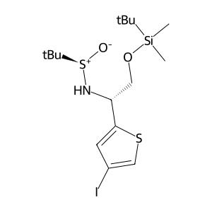 CC(C)(C)[S@@+]([O-])N[C@H](CO[Si](C)(C)C(C)(C)C)c1cc(I)cs1